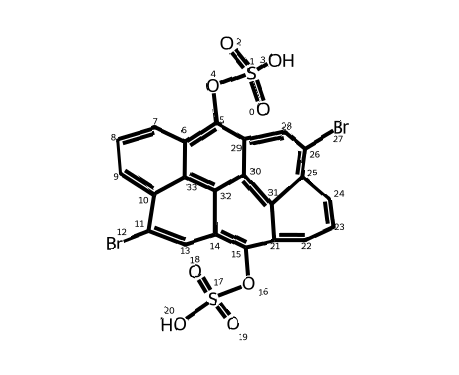 O=S(=O)(O)Oc1c2cccc3c(Br)cc4c(OS(=O)(=O)O)c5cccc6c(Br)cc1c(c65)c4c32